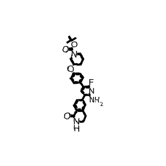 CC(C)(C)OC(=O)N1CCC[C@H](Oc2ccc(-c3cc(-c4ccc5c(c4)CCNC5=O)c(N)nc3F)cc2)C1